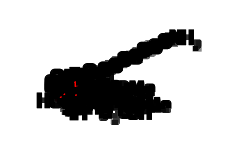 CC/C=C\C#CC12C(NC(=O)OC)C(=O)C[C@](O)(/C(=C/CSSC(C)C)C1[C@H](C)O[C@@H]1O[C@H](C)[C@@H](NO[C@H]3C[C@H](O)[C@H](SC(=O)c4c(C)c(I)c(O[C@@H]5O[C@@H](C)[C@H](O)[C@@H](OC)[C@H]5O)c(OC)c4OC)[C@@H](C)O3)[C@H](O)[C@H]1O[C@H]1C[C@H](OC)[C@@H](N(CC)CC(=O)NCCOCCOCCOCCOCCOCCOCCOCCN)CO1)C2(C)C